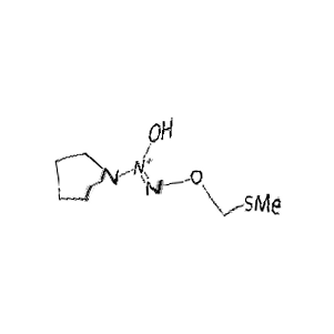 CSCO/N=[N+](\O)N1CCCC1